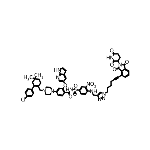 CC1(C)CCC(CN2CCN(c3ccc(C(=O)NS(=O)(=O)c4ccc(NCc5cn(CCCCC#Cc6cccc7c6C(=O)N(C6CCC(=O)NC6=O)C7=O)nn5)c([N+](=O)[O-])c4)c(Oc4cnc5[nH]ccc5c4)c3)CC2)=C(c2ccc(Cl)cc2)C1